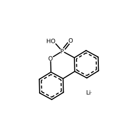 O=P1(O)Oc2ccccc2-c2ccccc21.[Li]